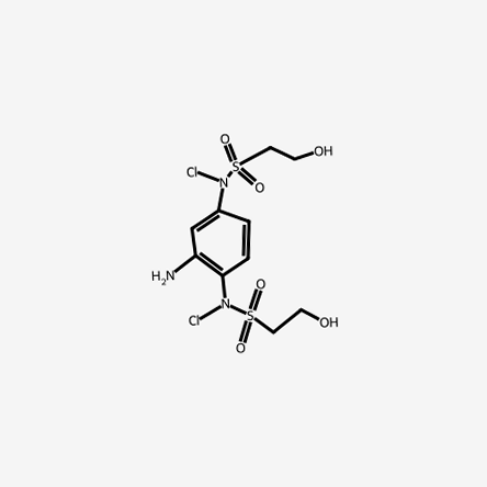 Nc1cc(N(Cl)S(=O)(=O)CCO)ccc1N(Cl)S(=O)(=O)CCO